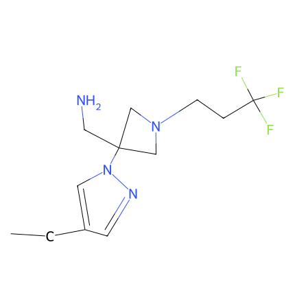 CCc1cnn(C2(CN)CN(CCC(F)(F)F)C2)c1